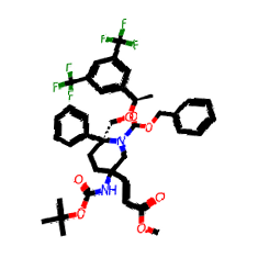 COC(=O)/C=C/C1(NC(=O)OC(C)(C)C)CC[C@@](CO[C@H](C)c2cc(C(F)(F)F)cc(C(F)(F)F)c2)(c2ccccc2)N(C(=O)OCc2ccccc2)C1